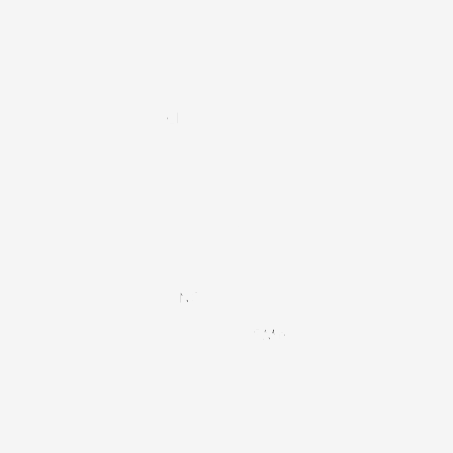 CSC(C#N)=Cc1ccc(Cl)cc1